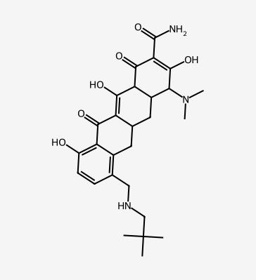 CN(C)C1C(O)=C(C(N)=O)C(=O)C2C(O)=C3C(=O)c4c(O)ccc(CNCC(C)(C)C)c4CC3CC21